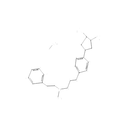 CC#N.CCCN(CCCc1ccc(C2CC(C(F)(F)F)C(C(F)(F)F)C2)cc1)CCc1ccccc1